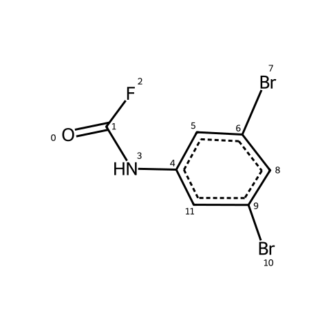 O=C(F)Nc1cc(Br)cc(Br)c1